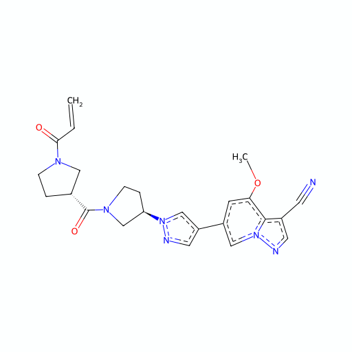 C=CC(=O)N1CC[C@@H](C(=O)N2CC[C@@H](n3cc(-c4cc(OC)c5c(C#N)cnn5c4)cn3)C2)C1